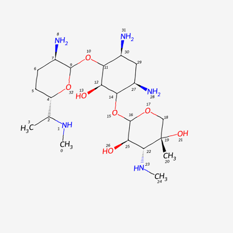 CNC(C)[C@@H]1CC[C@@H](N)C(OC2[C@H](O)C(OC3OC[C@](C)(O)[C@H](NC)[C@H]3O)[C@H](N)C[C@@H]2N)O1